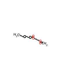 C=CC(=O)OCCCCCCOC(=O)C1CCC(CCC2CCC(CCCCC)CC2)CC1